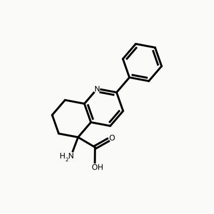 NC1(C(=O)O)CCCc2nc(-c3ccccc3)ccc21